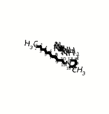 CCCCCCCCCCCCN1CCCC(C)C1.N#CN.N#CN